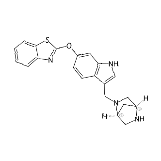 c1ccc2sc(Oc3ccc4c(CN5C[C@@H]6C[C@H]5CN6)c[nH]c4c3)nc2c1